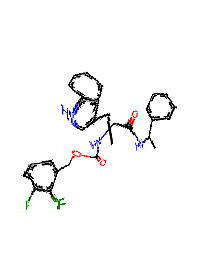 CC(NC(=O)C(C)(Cc1c[nH]c2ccccc12)NC(=O)OCc1cccc(F)c1F)c1ccccc1